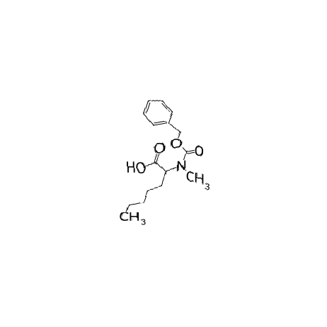 CCCCCC(C(=O)O)N(C)C(=O)OCc1ccccc1